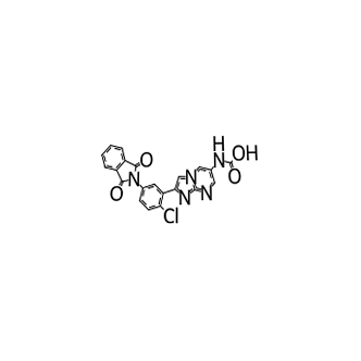 O=C(O)Nc1cnc2nc(-c3cc(N4C(=O)c5ccccc5C4=O)ccc3Cl)cn2c1